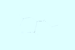 CCNC(CC(C)C)C(=O)O